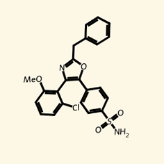 COc1cccc(Cl)c1-c1nc(Cc2ccccc2)oc1-c1ccc(S(N)(=O)=O)cc1